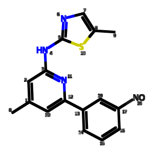 Cc1cc(Nc2ncc(C)s2)nc(-c2cccc(N=O)c2)c1